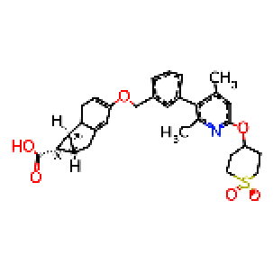 Cc1cc(OC2CCS(=O)(=O)CC2)nc(C)c1-c1cccc(COC2=CCC3C(=C2)C[C@H]2[C@H](C(=O)O)[C@@H]32)c1